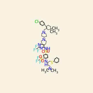 CN(C)CCC(CSc1ccccc1)Nc1ccc(S(=O)(=O)Nc2nc(C(F)(F)F)nc3c2CCN(C2CCN(CC4=C(c5ccc(Cl)cc5)CCC(C)(C)C4)CC2)C3)cc1S(=O)(=O)C(F)(F)F